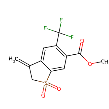 C=C1CS(=O)(=O)c2cc(C(=O)OC)c(C(F)(F)F)cc21